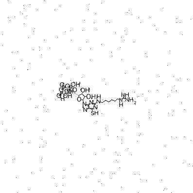 N=C(N)NCCCCCCNc1nc(S)c2ncn(C3O[C@H](COP(=O)(O)OP(=O)(O)O[PH](=O)O)[C@H](O)C3O)c2n1